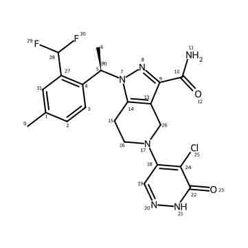 Cc1ccc([C@@H](C)n2nc(C(N)=O)c3c2CCN(c2cn[nH]c(=O)c2Cl)C3)c(C(F)F)c1